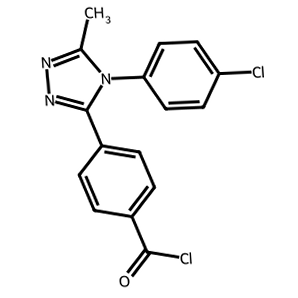 Cc1nnc(-c2ccc(C(=O)Cl)cc2)n1-c1ccc(Cl)cc1